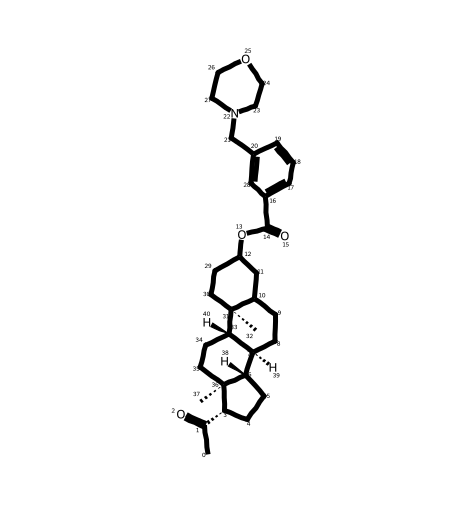 CC(=O)[C@H]1CC[C@H]2[C@@H]3CCC4CC(OC(=O)c5cccc(CN6CCOCC6)c5)CC[C@]4(C)[C@H]3CC[C@]12C